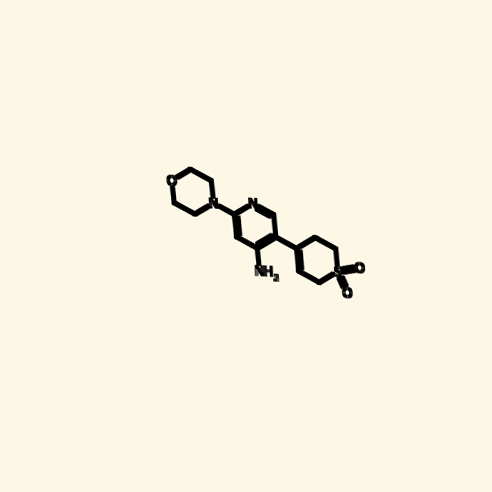 Nc1cc(N2CCOCC2)ncc1C1=CCS(=O)(=O)CC1